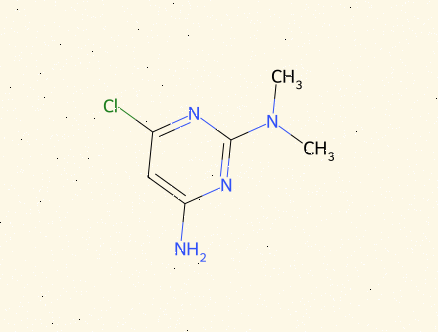 CN(C)c1nc(N)cc(Cl)n1